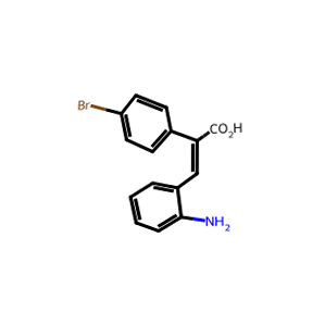 Nc1ccccc1C=C(C(=O)O)c1ccc(Br)cc1